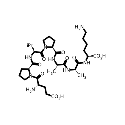 CC(C)[C@H](NC(=O)[C@@H]1CCCN1C(=O)[C@@H](N)CCC(=O)O)C(=O)N1CCC[C@H]1C(=O)N[C@@H](C)C(=O)N[C@@H](C)C(=O)N[C@@H](CCCCN)C(=O)O